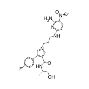 C[C@@H](CO)NC(=O)c1cn(CCCNc2ccc([N+](=O)[O-])c(N)n2)cc1-c1ccc(F)cc1